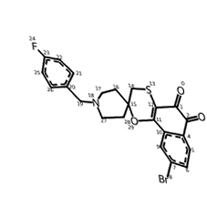 O=C1C(=O)c2ccc(Br)cc2C2=C1SCC1(CCN(Cc3ccc(F)cc3)CC1)O2